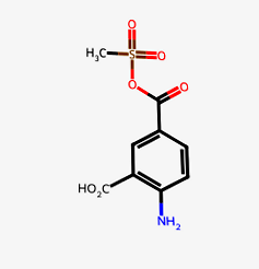 CS(=O)(=O)OC(=O)c1ccc(N)c(C(=O)O)c1